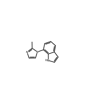 Cc1nccn1-c1cccc2cc[nH]c12